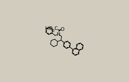 O=C(O)C(=O)N(Cc1ccccc1)CC(c1ccc(-c2cccc3ccccc23)cc1)C1CCCCC1